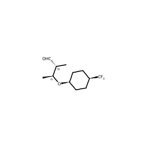 C[C@H](O[C@H]1CC[C@@H](C(F)(F)F)CC1)[C@@H](C)C=O